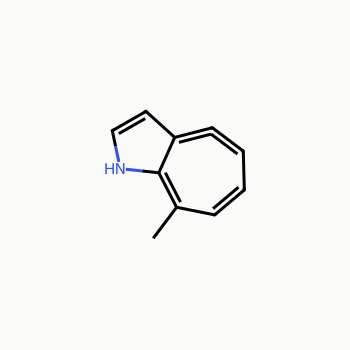 CC1=c2[nH]ccc2=C=CC=C1